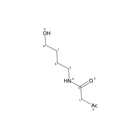 CC(=O)CC(=O)NCCCCO